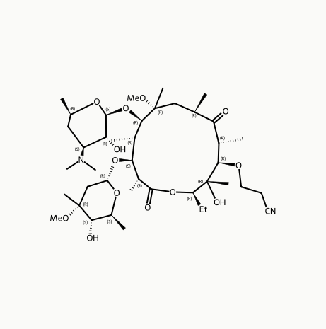 CC[C@H]1OC(=O)[C@H](C)[C@@H](O[C@H]2C[C@@](C)(OC)[C@@H](O)[C@H](C)O2)[C@H](C)[C@@H](O[C@@H]2O[C@H](C)C[C@H](N(C)C)[C@H]2O)[C@](C)(OC)C[C@@H](C)C(=O)[C@H](C)[C@@H](OCCC#N)[C@]1(C)O